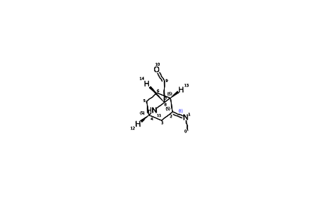 C/N=C1\C[C@@H]2CC[C@H]1[C@@H](C=O)N2